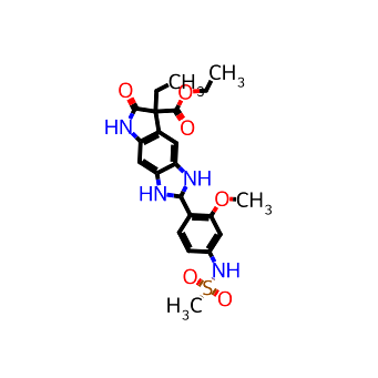 CCOC(=O)C1(CC)C(=O)Nc2cc3c(cc21)NC(c1ccc(NS(C)(=O)=O)cc1OC)N3